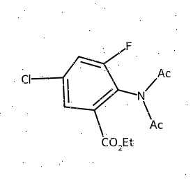 CCOC(=O)c1cc(Cl)cc(F)c1N(C(C)=O)C(C)=O